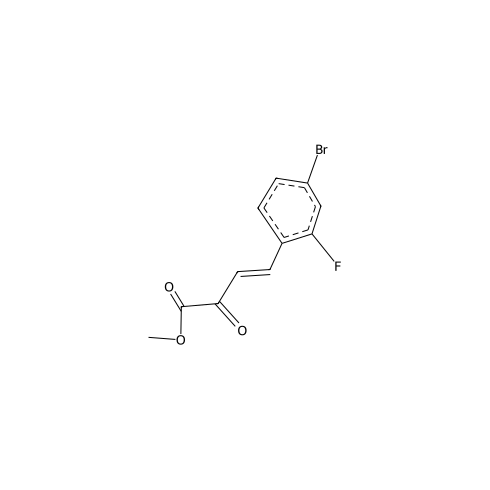 COC(=O)C(=O)C=Cc1ccc(Br)cc1F